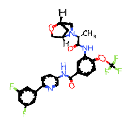 C[C@H](C(=O)Nc1cc(C(=O)Nc2ccc(-c3cc(F)cc(F)c3)nc2)ccc1OC(F)(F)F)N1C[C@@H]2C[C@H]1CO2